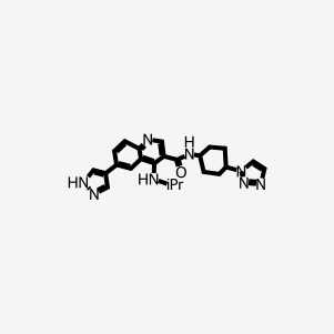 CC(C)Nc1c(C(=O)NC2CCC(n3ccnn3)CC2)cnc2ccc(-c3cn[nH]c3)cc12